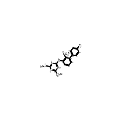 COc1nc(OC)nc(Oc2cccc(-c3ccc(Cl)cc3)c2C(=O)O)n1